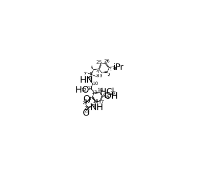 CC(C)c1ccc(CC(C)(C)NCC(O)c2cc(O)cc3c2OCC(=O)N3)cc1.Cl